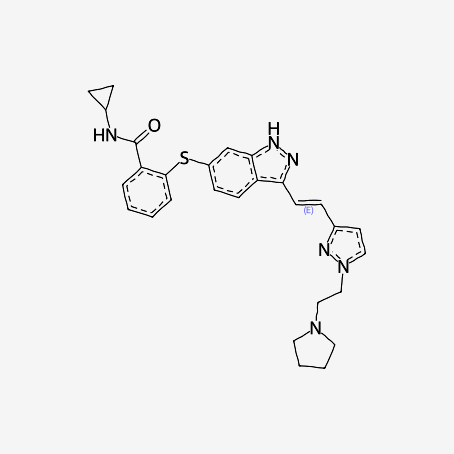 O=C(NC1CC1)c1ccccc1Sc1ccc2c(/C=C/c3ccn(CCN4CCCC4)n3)n[nH]c2c1